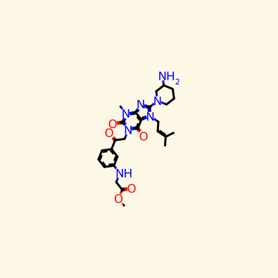 COC(=O)CNc1cccc(C(=O)Cn2c(=O)c3c(nc(N4CCCC(N)C4)n3CC=C(C)C)n(C)c2=O)c1